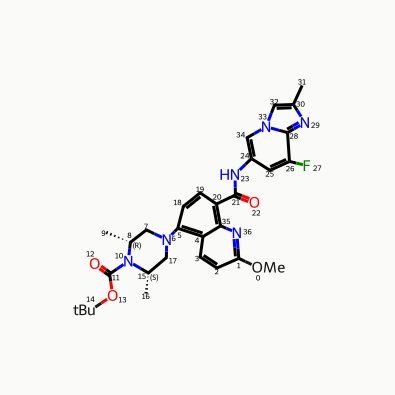 COc1ccc2c(N3C[C@@H](C)N(C(=O)OC(C)(C)C)[C@@H](C)C3)ccc(C(=O)Nc3cc(F)c4nc(C)cn4c3)c2n1